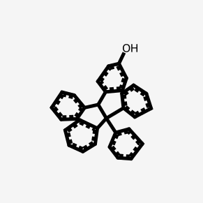 Oc1ccc(C(c2ccccc2)C(c2ccccc2)(c2ccccc2)c2ccccc2)cc1